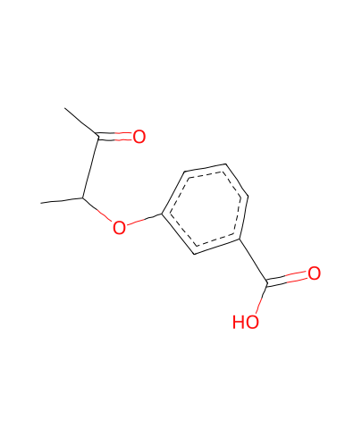 CC(=O)C(C)Oc1cccc(C(=O)O)c1